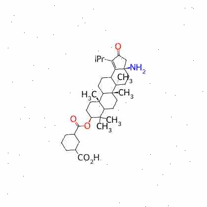 CC(C)C1=C2C3CCC4[C@@]5(C)CC[C@H](OC(=O)C6CCCC(C(=O)O)C6)C(C)(C)C5CC[C@@]4(C)[C@]3(C)CC[C@@]2(N)CC1=O